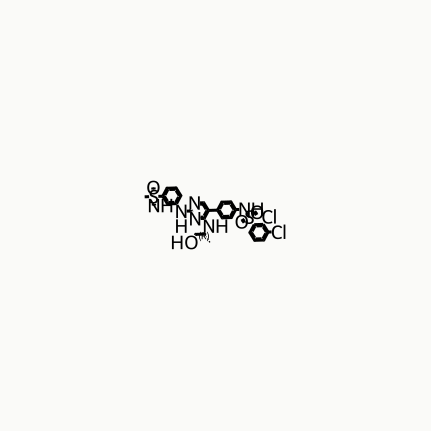 C[C@H](CO)Nc1nc(Nc2cccc(S(C)(=N)=O)c2)ncc1-c1ccc(NS(=O)(=O)c2cccc(Cl)c2Cl)cc1